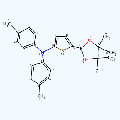 Cc1ccc(N(c2ccc(C)cc2)c2ccc(B3OC(C)(C)C(C)(C)O3)s2)cc1